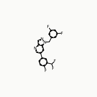 Fc1cc(F)cc(Cn2ncc3ncc(-c4ccc(F)c(C(F)F)c4)cc32)c1